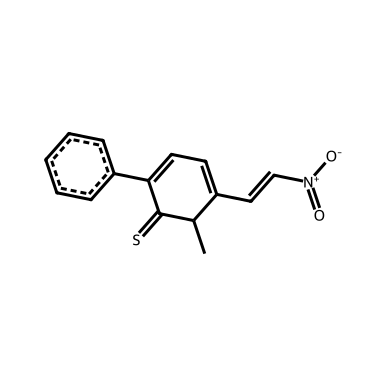 CC1C(=S)C(c2ccccc2)=CC=C1/C=C/[N+](=O)[O-]